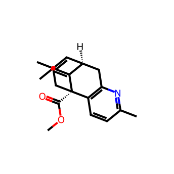 CC=C1[C@H]2C=C(C)C[C@]1(C(=O)OC)c1ccc(C)nc1C2